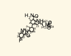 Cc1c(-c2ccc(C(N)=O)c3[nH]c(C4=CCN(S(C)(=O)=O)CC4)cc23)cccc1-n1cnc2ccc(F)cc2c1=O